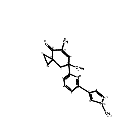 COC1(c2cccc(-c3cnn(C)c3)n2)C=C(C#N)C(=O)C2(CC2)C1